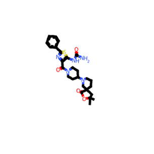 CC1(C)CC2(CCCN(C3CCN(C(=O)c4nc(-c5ccccc5)sc4NC(N)=O)CC3)C2)C(=O)O1